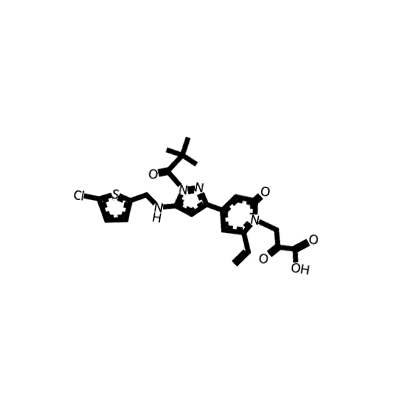 C=Cc1cc(-c2cc(NCc3ccc(Cl)s3)n(C(=O)C(C)(C)C)n2)cc(=O)n1CC(=O)C(=O)O